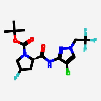 CC(C)(C)OC(=O)N1C[C@H](F)C[C@H]1C(=O)Nc1nn(CC(F)(F)F)cc1Cl